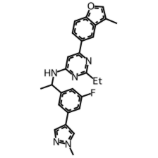 CCc1nc(NC(C)c2cc(F)cc(-c3cnn(C)c3)c2)cc(-c2ccc3occ(C)c3c2)n1